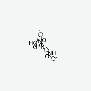 Cc1cccc(C(=O)Nc2ccc(-n3cc(C(=O)O)c(N(C(=O)C4CCC(C)CC4)C(C)C)n3)cc2)c1